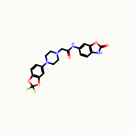 O=C(CN1CCN(c2ccc3c(c2)OC(F)(F)O3)CC1)Nc1ccc2[nH]c(=O)oc2c1